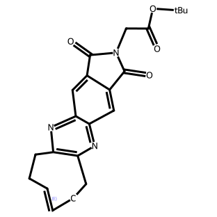 CC(C)(C)OC(=O)CN1C(=O)c2cc3nc4c(nc3cc2C1=O)CC/C=C/CC4